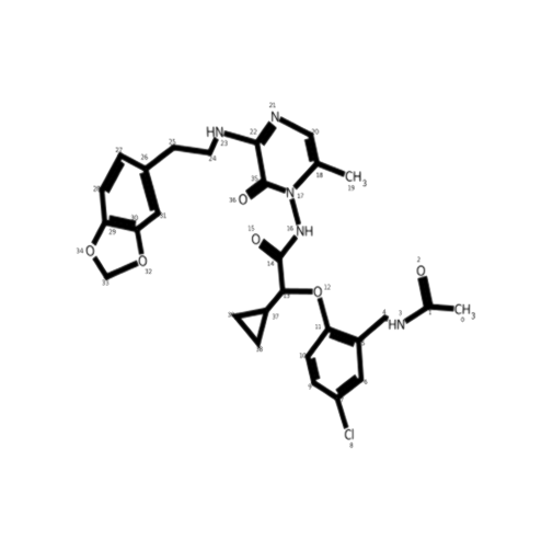 CC(=O)NCc1cc(Cl)ccc1OC(C(=O)Nn1c(C)cnc(NCCc2ccc3c(c2)OCO3)c1=O)C1CC1